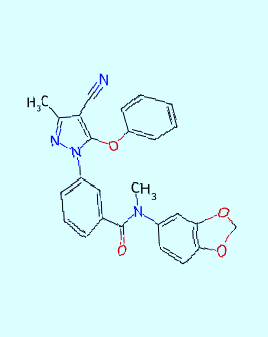 Cc1nn(-c2cccc(C(=O)N(C)c3ccc4c(c3)OCO4)c2)c(Oc2ccccc2)c1C#N